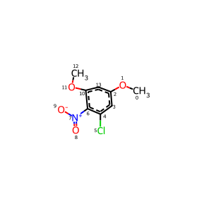 COc1cc(Cl)c([N+](=O)[O-])c(OC)c1